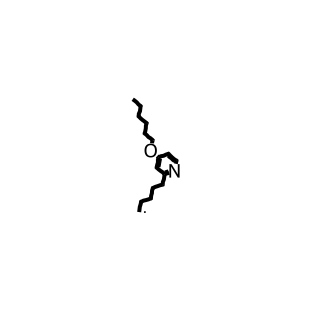 [CH2]CCCCc1cc(OCCCCCC)ccn1